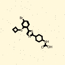 O=C(O)NC1CCC(c2ncc(-c3ccc(Br)cc3SC3CCC3)s2)CC1